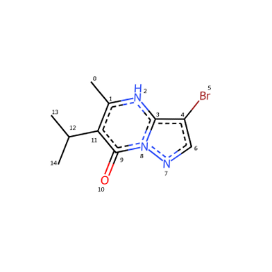 Cc1[nH]c2c(Br)cnn2c(=O)c1C(C)C